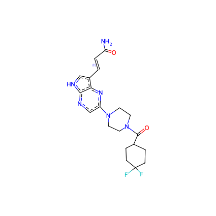 NC(=O)/C=C/c1c[nH]c2ncc(N3CCN(C(=O)C4CCC(F)(F)CC4)CC3)nc12